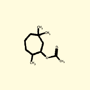 CC(=O)OC1CC(C)(C)CCCC1C